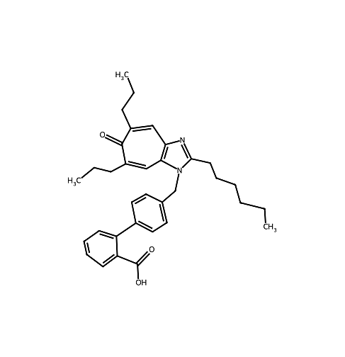 CCCCCCc1nc2cc(CCC)c(=O)c(CCC)cc2n1Cc1ccc(-c2ccccc2C(=O)O)cc1